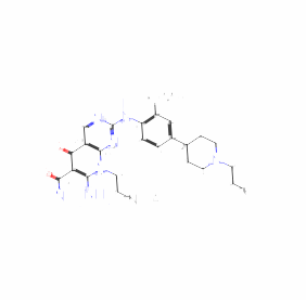 COc1cc(C2CCN(CCC(F)(F)F)CC2)ccc1Nc1ncc2c(=O)c(C(N)=O)c(N)n(CCNC(C)=O)c2n1